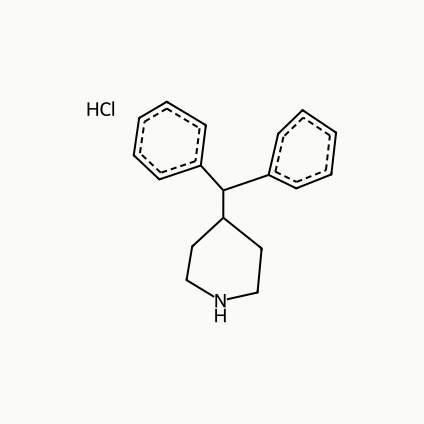 Cl.c1ccc(C(c2ccccc2)C2CCNCC2)cc1